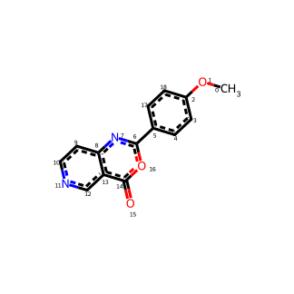 COc1ccc(-c2nc3ccncc3c(=O)o2)cc1